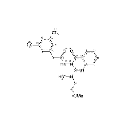 COCCN(C)c1nc2ccccc2c(=O)n1NC(=O)Cc1cc(C(F)(F)F)cc(C(F)(F)F)c1